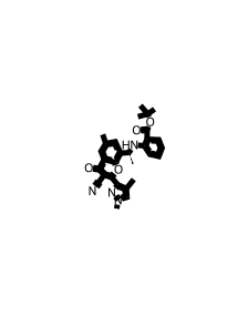 Cc1cc([C@@H](C)Nc2ccccc2C(=O)OC(C)(C)C)c2oc(-c3nn(C)cc3C)c(C#N)c(=O)c2c1